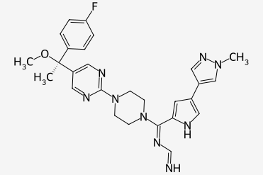 CO[C@@](C)(c1ccc(F)cc1)c1cnc(N2CCN(/C(=N/C=N)c3cc(-c4cnn(C)c4)c[nH]3)CC2)nc1